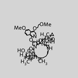 COCCOc1cnc(O[C@@H]2C[C@H]3C(=O)N[C@]4(C(=O)NS(=O)(=O)C5(C)CC5)C[C@H]4C=CCC[C@@H](C)C[C@@H](C)[C@H](N(C(=O)O)C(C)(C)C(C)(F)F)C(=O)N3C2)c2ccc(OC)cc12